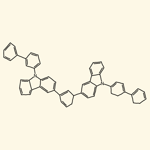 C1=CCCC(C2=CC=C(n3c4ccccc4c4cc(C5C=C(c6ccc7c(c6)c6ccccc6n7-c6cccc(-c7ccccc7)c6)C=CC5)ccc43)CC2)=C1